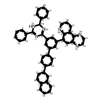 c1ccc(C2=NC(c3cc(-c4ccc(-c5ccc6ccccc6c5)cc4)cc(-c4cc5nccnc5c5cccnc45)c3)=NC(c3ccccc3)N2)cc1